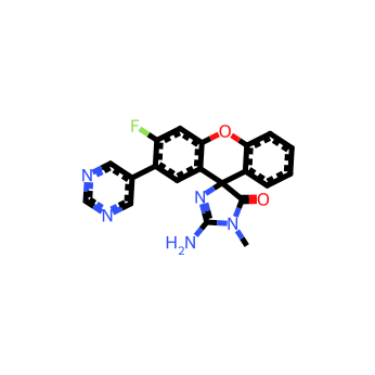 CN1C(=O)C2(N=C1N)c1ccccc1Oc1cc(F)c(-c3cncnc3)cc12